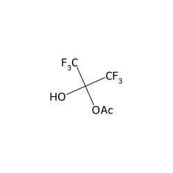 CC(=O)OC(O)(C(F)(F)F)C(F)(F)F